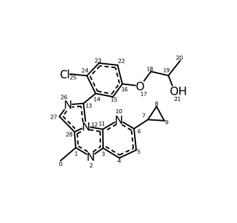 Cc1nc2ccc(C3CC3)nc2n2c(-c3cc(OCC(C)O)ccc3Cl)ncc12